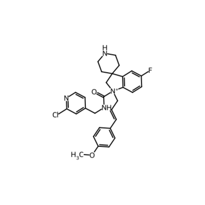 COc1ccc(/C=C/C[N+]2(C(=O)NCc3ccnc(Cl)c3)CC3(CCNCC3)c3cc(F)ccc32)cc1